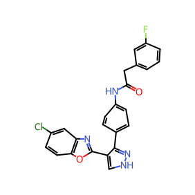 O=C(Cc1cccc(F)c1)Nc1ccc(-c2n[nH]cc2-c2nc3cc(Cl)ccc3o2)cc1